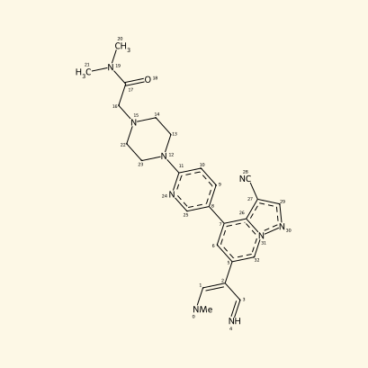 CN/C=C(\C=N)c1cc(-c2ccc(N3CCN(CC(=O)N(C)C)CC3)nc2)c2c(C#N)cnn2c1